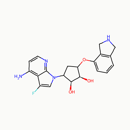 Nc1ccnc2c1c(F)cn2C1CC(Oc2cccc3c2CNC3)[C@@H](O)[C@H]1O